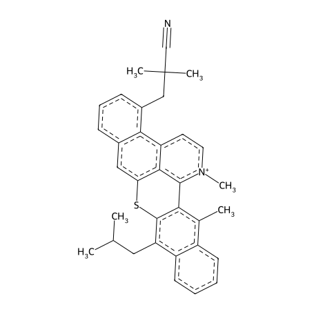 Cc1c2c(c(CC(C)C)c3ccccc13)Sc1cc3cccc(CC(C)(C)C#N)c3c3cc[n+](C)c-2c13